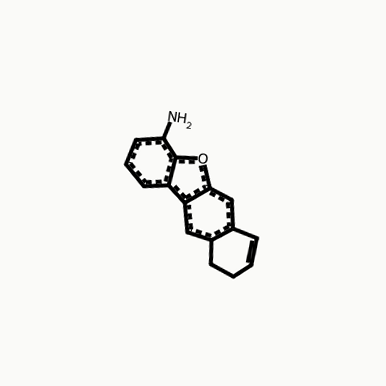 Nc1cccc2c1oc1cc3c(cc12)CCC=C3